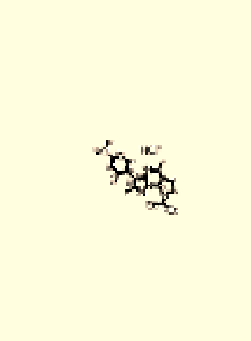 CCC(CC)N1CCc2c(C)nc3c(-c4cnc(N(C)C)cc4C)c(C)nn3c21.Cl